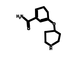 NC(=O)C1=CCCC(OC2CCNCC2)=C1